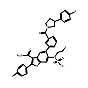 CNC(=O)c1c(-c2ccc(F)cc2)oc2cc(N(CCF)S(C)(=O)=O)c(-c3cccc(C(=O)N4CCC(c5ccc(F)cc5)C4)c3)cc12